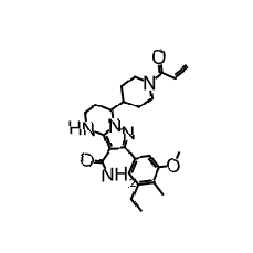 C=CC(=O)N1CCC(C2CCNc3c(C(N)=O)c(-c4cc(CC)c(C)c(OC)c4)nn32)CC1